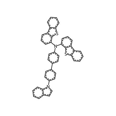 c1ccc2c(c1)ccn2-c1ccc(-c2ccc(N(c3cccc4c3sc3ccccc34)c3cccc4c3sc3ccccc34)cc2)cc1